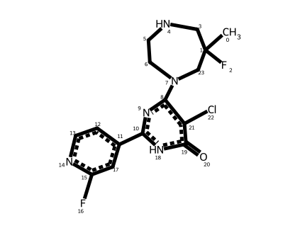 CC1(F)CNCCN(c2nc(-c3ccnc(F)c3)[nH]c(=O)c2Cl)C1